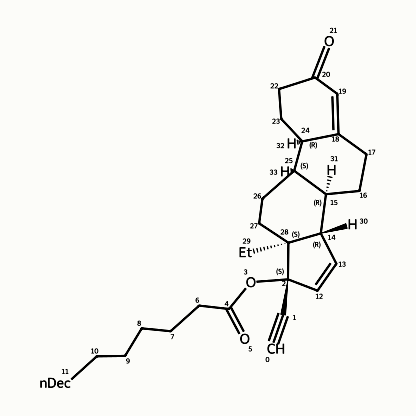 C#C[C@]1(OC(=O)CCCCCCCCCCCCCCC)C=C[C@H]2[C@@H]3CCC4=CC(=O)CC[C@@H]4[C@H]3CC[C@@]21CC